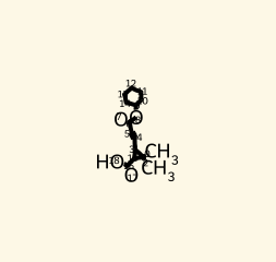 CC1(C)C(C#CC(=O)OC2CCCCC2)C1C(=O)O